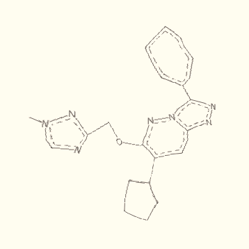 Cn1cnc(COc2nn3c(-c4ccccc4)nnc3cc2C2CCCC2)n1